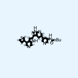 CCCCC(=O)Nc1cncc(-c2cnc3[nH]nc(-c4cc5c(-c6ccsc6)cncc5[nH]4)c3c2)c1